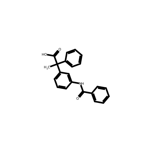 CC(C(=O)O)(c1ccccc1)c1cccc(NC(=O)c2ccccc2)c1